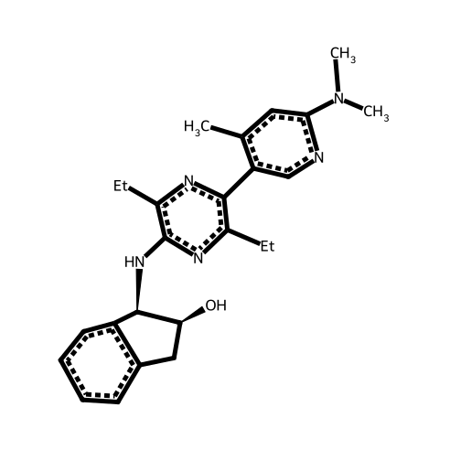 CCc1nc(-c2cnc(N(C)C)cc2C)c(CC)nc1N[C@@H]1c2ccccc2C[C@@H]1O